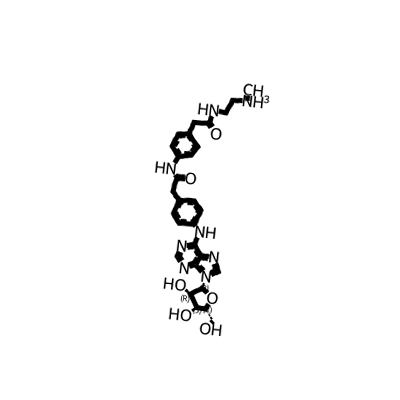 CNCCNC(=O)Cc1ccc(NC(=O)Cc2ccc(Nc3ncnc4c3ncn4[C@@H]3O[C@H](CO)[C@@H](O)[C@H]3O)cc2)cc1